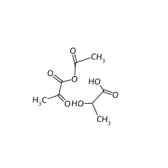 CC(=O)OC(=O)C(C)=O.CC(O)C(=O)O